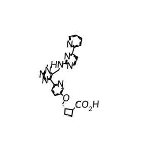 Cn1nnc(-c2ccc(OC[C@H]3CC[C@@H]3C(=O)O)cn2)c1CNc1nccc(-c2ccccn2)n1